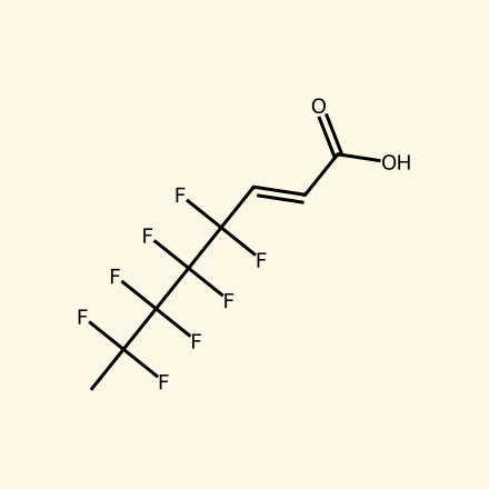 CC(F)(F)C(F)(F)C(F)(F)C(F)(F)C=CC(=O)O